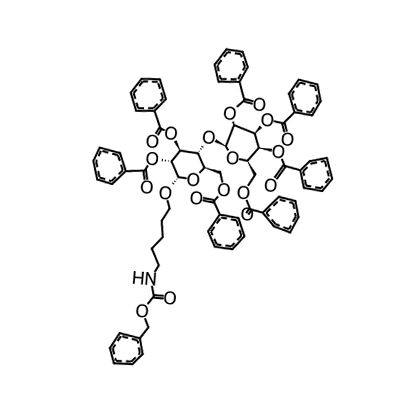 O=C(NCCCCCO[C@H]1O[C@H](COC(=O)c2ccccc2)[C@@H](O[C@@H]2O[C@H](COC(=O)c3ccccc3)[C@H](OC(=O)c3ccccc3)[C@H](OC(=O)c3ccccc3)[C@H]2OC(=O)c2ccccc2)[C@H](OC(=O)c2ccccc2)[C@H]1OC(=O)c1ccccc1)OCc1ccccc1